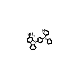 Bc1ccc2c3ccccc3n(-c3ccc(N(c4ccccc4)c4cccnc4)cc3)c2c1